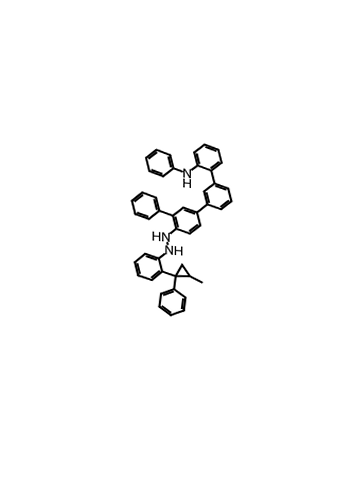 CC1CC1(c1ccccc1)c1ccccc1NNc1ccc(-c2cccc(-c3ccccc3Nc3ccccc3)c2)cc1-c1ccccc1